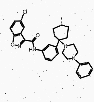 C[C@H]1CC[C@](c2cccc(NC(=O)c3noc4ccc(Cl)cc34)c2)(N2CCN(c3ccccc3)CC2)CC1